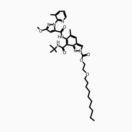 CCCCCCCCCCOCCOC(=O)n1cc2cc(C)c(NC(=O)c3cc(OC)nn3-c3ncccc3C)c(C(=O)NC(C)(C)C)c2n1